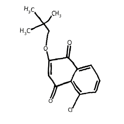 CC(C)(C)COC1=CC(=O)c2c(Cl)cccc2C1=O